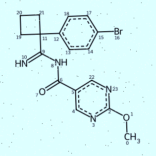 COc1ncc(C(=O)NC(=N)C2(c3ccc(Br)cc3)CCC2)cn1